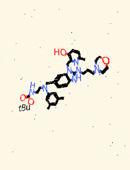 Cc1cc(C)cc(N(CCNC(=O)OC(C)(C)C)Cc2ccc3nc(NCCCN4CCOCC4)n(Cc4nc(C)ccc4O)c3c2)c1